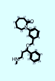 CNCCC(OCc1cccc(N2CCCCCC2=O)c1)c1ccccc1